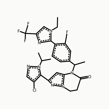 CCn1cc(C(F)(F)F)nc1-c1ccc(C(C)N2C(=O)CCn3nc(-c4c(Cl)cnn4C(C)C)cc32)cc1F